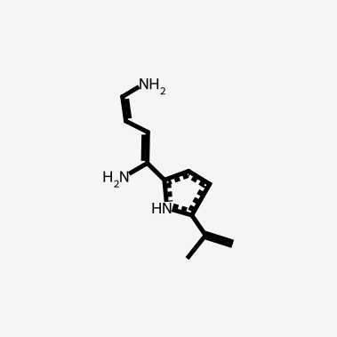 C=C(C)c1ccc(/C(N)=C/C=C\N)[nH]1